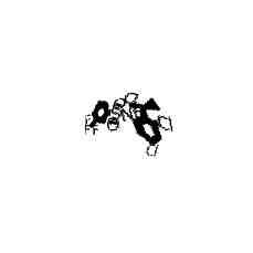 O=C(NS(=O)(=O)c1cccc(C(F)(F)F)c1)C1(c2ccc(Cl)cc2Cl)CC1